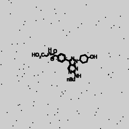 CCCCNc1ncc2c(-c3ccc(S(=O)(=O)NCC(=O)O)cc3)nn([C@H]3CC[C@H](O)CC3)c2n1